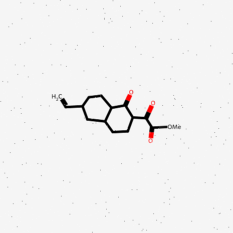 C=CC1CCC2C(=O)C(C(=O)C(=O)OC)CCC2C1